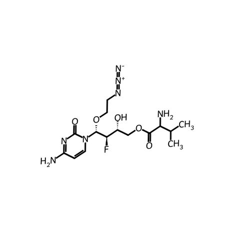 CC(C)C(N)C(=O)OC[C@@H](O)[C@@H](F)[C@@H](OCCN=[N+]=[N-])n1ccc(N)nc1=O